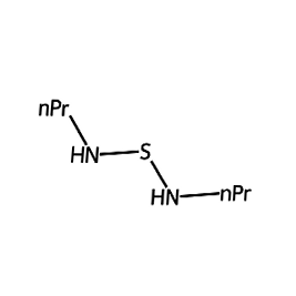 CCCNSNCCC